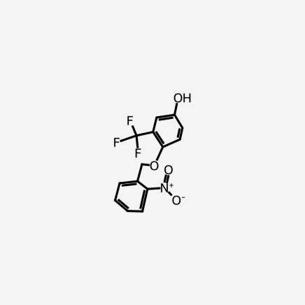 O=[N+]([O-])c1ccccc1COc1ccc(O)cc1C(F)(F)F